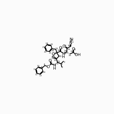 CC(C)[C@H](NC(=O)OCc1ccccc1)C1=NOC(Cc2ccccc2)(C(=O)N[C@@H](CC(=O)O)C(=O)C=[N+]=[N-])C1